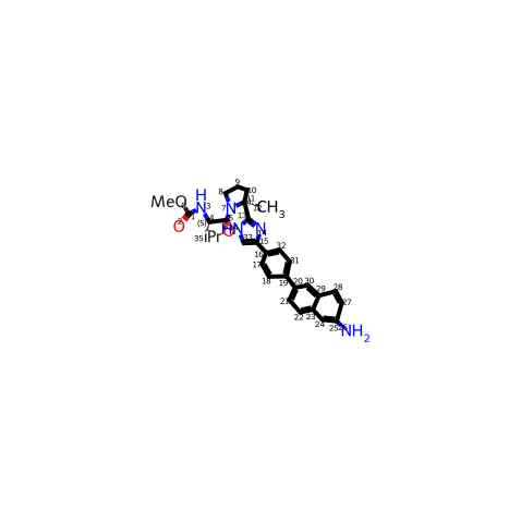 COC(=O)N[C@H](C(=O)N1CCC[C@@]1(C)c1nc(-c2ccc(-c3ccc4cc(N)ccc4c3)cc2)c[nH]1)C(C)C